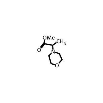 COC(=O)C(C)N1CCOCC1